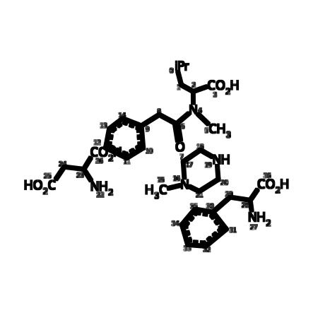 CC(C)CC(C(=O)O)N(C)C(=O)Cc1ccccc1.CN1CCNCC1.NC(CC(=O)O)C(=O)O.NC(Cc1ccccc1)C(=O)O